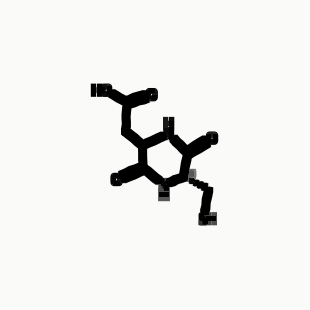 O=C(O)CC1NC(=O)[C@H](CS)NC1=O